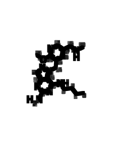 CCCCNc1nc(N)nc2cnn(Cc3cc(CNC)cnc3OC)c12